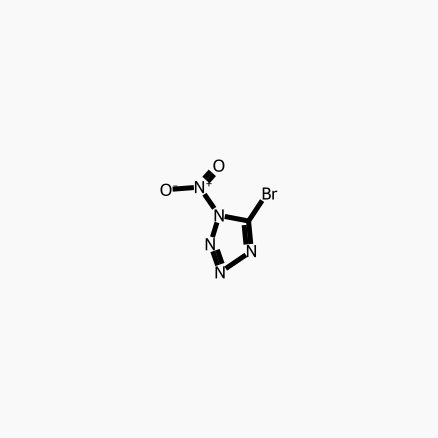 O=[N+]([O-])n1nnnc1Br